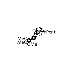 CCCCCC=CCN1C(=O)[C@H](Cc2ccc(-c3cc(OC)c(OC)c(OC)c3)cc2)N(C)C(=O)[C@@H]1CCC